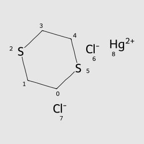 C1CSCCS1.[Cl-].[Cl-].[Hg+2]